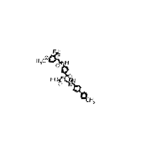 COc1ccc(CC(=O)Nc2ccc(C(=O)N(CC(=O)O)Cc3nc(C4=CCC(c5ccc(C)cc5)C=C4)no3)cc2)c(C(F)(F)F)c1